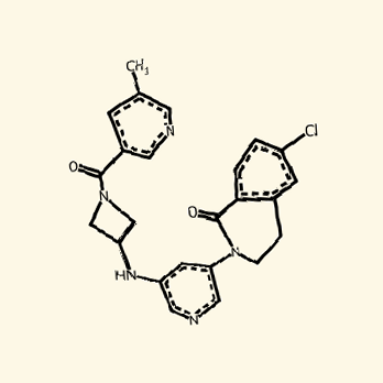 Cc1cncc(C(=O)N2CC(Nc3cncc(N4CCc5cc(Cl)ccc5C4=O)c3)C2)c1